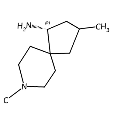 CC1C[C@@H](N)C2(CCN(C)CC2)C1